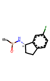 CC(C)(C)[S+]([O-])N[C@H]1CCc2ccc(F)cc21